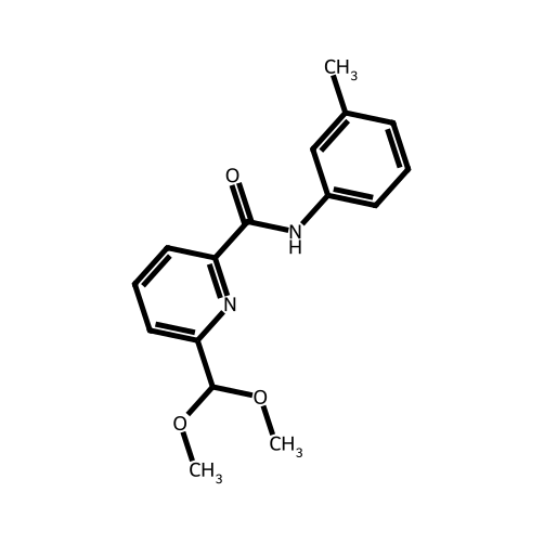 COC(OC)c1cccc(C(=O)Nc2cccc(C)c2)n1